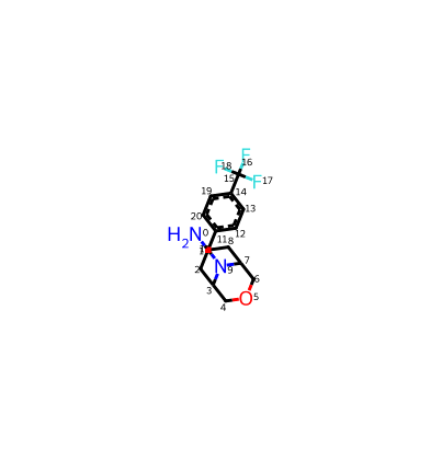 NC1CC2COCC(C1)N2Cc1ccc(C(F)(F)F)cc1